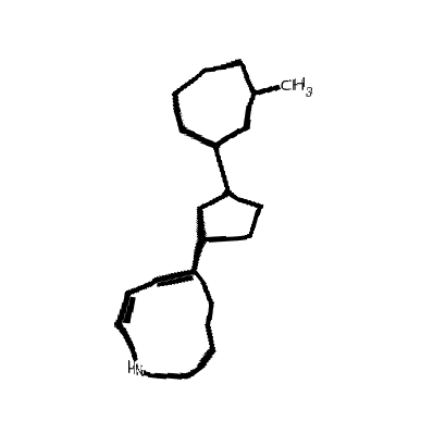 CC1CCCCC(C2CCC(/C3=C/C=C\NCCC3)C2)C1